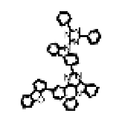 c1ccc(-c2nc(-c3ccccc3)nc(-n3c4ccccc4c4cc(-c5nc(-c6cccc(-c7cccc8c7oc7ccccc78)c6)c6c(n5)c5ccccc5n6-c5ccccc5)ccc43)n2)cc1